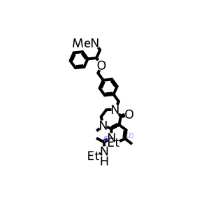 CCN/C(C)=N/C1=C(/C=C(/C)CC)C(=O)N(Cc2ccc(COC(CNC)c3ccccc3)cc2)CCN1C